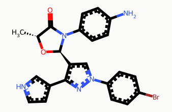 C[C@H]1O[C@H](c2cn(-c3ccc(Br)cc3)nc2-c2cc[nH]c2)N(c2ccc(N)cc2)C1=O